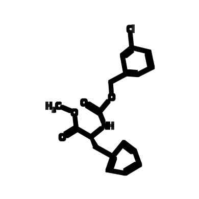 COC(=O)[C@H](Cc1ccccc1)NC(=O)OCc1cccc(Cl)c1